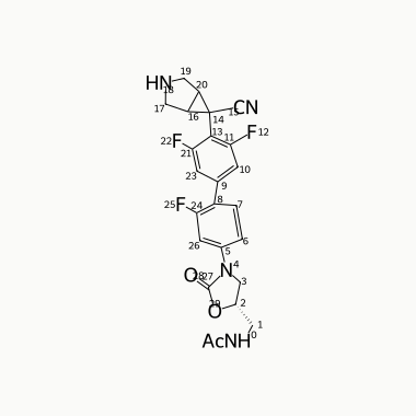 CC(=O)NC[C@H]1CN(c2ccc(-c3cc(F)c(C4(C#N)C5CNCC54)c(F)c3)c(F)c2)C(=O)O1